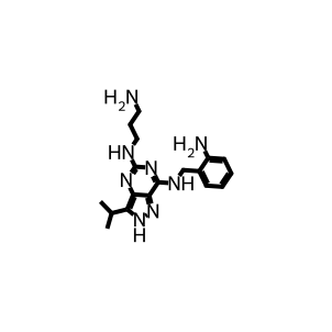 CC(C)c1[nH]nc2c(NCc3ccccc3N)nc(NCCCN)nc12